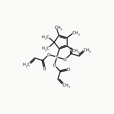 C=CC(=O)[O][Ti]([O]C(=O)C=C)([O]C(=O)C=C)[C]1=C(C)C(C)=C(C)C1(C)C